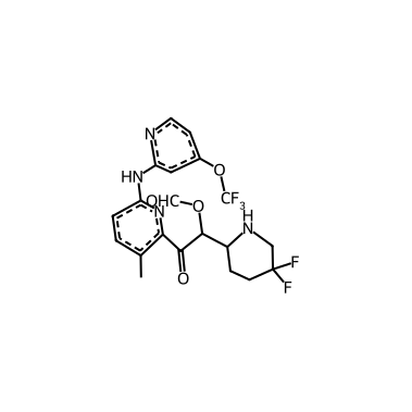 Cc1ccc(Nc2cc(OC(F)(F)F)ccn2)nc1C(=O)C(OC=O)C1CCC(F)(F)CN1